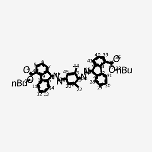 CCCCOC(=O)c1cccc2c1-c1ccccc1C2=NN=C1C=C(C)C(=NN=C2c3ccccc3-c3c(C(=O)OCCCC)cccc32)C(C)=C1